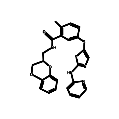 Cc1ccc(Sc2cnc(Nc3ccccn3)s2)cc1C(=O)NCC1COc2ccccc2O1